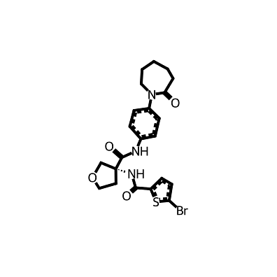 O=C(N[C@]1(C(=O)Nc2ccc(N3CCCCCC3=O)cc2)CCOC1)c1ccc(Br)s1